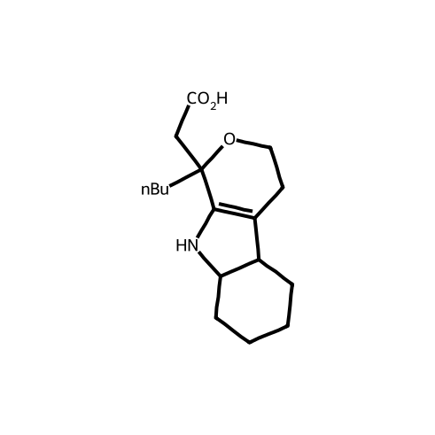 CCCCC1(CC(=O)O)OCCC2=C1NC1CCCCC21